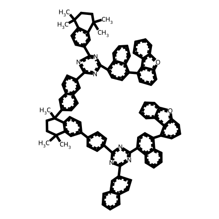 CC1(C)CCC(C)(C)c2cc(-c3nc(-c4ccc5cc(C6(C)CCC(C)(C)c7cc(-c8ccc(-c9nc(-c%10ccc%11ccccc%11c%10)nc(-c%10ccc(-c%11cccc%12oc%13ccccc%13c%11%12)c%11ccccc%10%11)n9)cc8)ccc76)ccc5c4)nc(-c4ccc(-c5cccc6oc7ccccc7c56)c5ccccc45)n3)ccc21